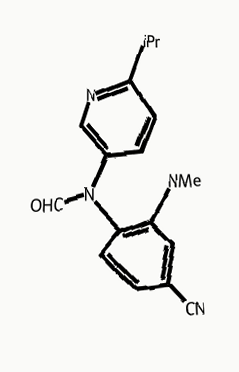 CNc1cc(C#N)ccc1N(C=O)c1ccc(C(C)C)nc1